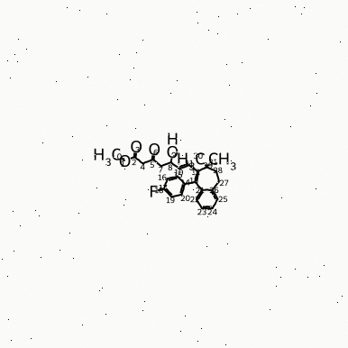 COC(=O)CC(=O)CC(O)C=CC1=C(c2ccc(F)cc2)c2ccccc2CCC1(C)C